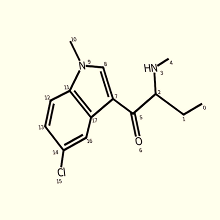 CCC(NC)C(=O)c1cn(C)c2ccc(Cl)cc12